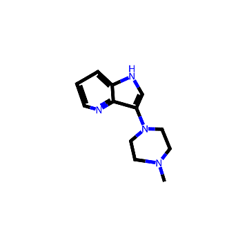 CN1CCN(c2c[nH]c3cccnc23)CC1